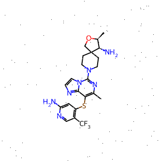 Cc1nc(N2CCC3(CC2)CO[C@@H](C)[C@H]3N)n2ccnc2c1Sc1cc(N)ncc1C(F)(F)F